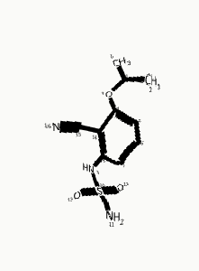 CC(C)Oc1cccc(NS(N)(=O)=O)c1C#N